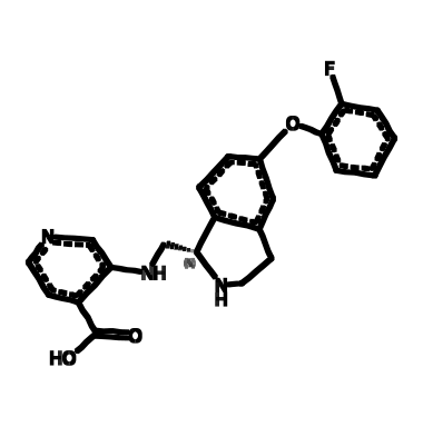 O=C(O)c1ccncc1NC[C@H]1NCCc2cc(Oc3ccccc3F)ccc21